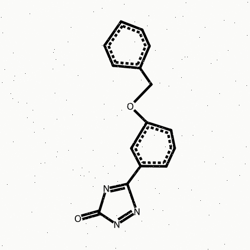 O=C1N=NC(c2cccc(OCc3ccccc3)c2)=N1